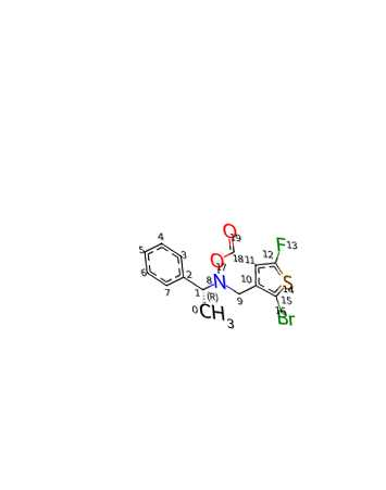 C[C@H](c1ccccc1)N(Cc1cc(F)sc1Br)OC=O